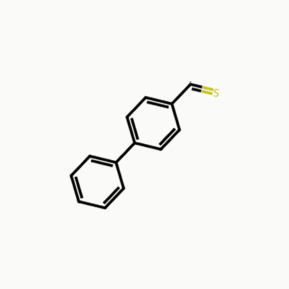 S=[C]c1ccc(-c2ccccc2)cc1